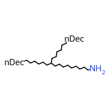 CCCCCCCCCCCCCCCCC(CCCCCCCCCN)CCCCCCCCCCCCCCCC